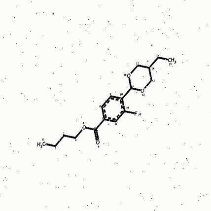 CCCCOC(=O)c1ccc(C2OCC(CC)CO2)c(F)c1